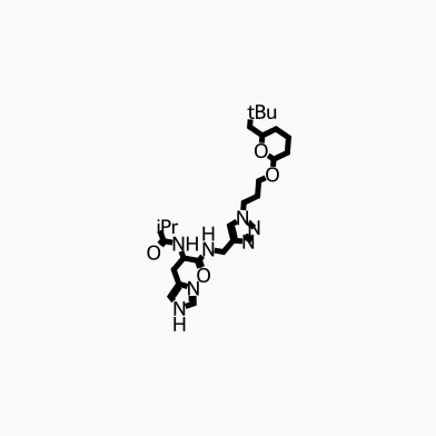 CC(C)C(=O)NC(Cc1c[nH]cn1)C(=O)NCc1cn(CCCOC2CCCC(CC(C)(C)C)O2)nn1